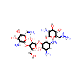 NC[C@@H]1O[C@H](O[C@H]2[C@@H](O)[C@H](O[C@@H]3[C@@H](O)[C@H](N)C[C@H](N)[C@H]3O[C@H]3O[C@H](CNN)[C@@H](O)[C@H](O)[C@H]3N)O[C@@H]2CO)[C@H](N)[C@@H](O)[C@@H]1O